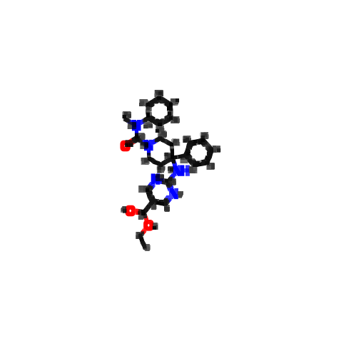 CCOC(=O)c1cnc(NC2(c3ccccc3)CCN(C(=O)N(C)c3ccccc3)CC2)nc1